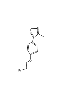 CC1=NCC=C1c1ccc(OCCC(C)C)cc1